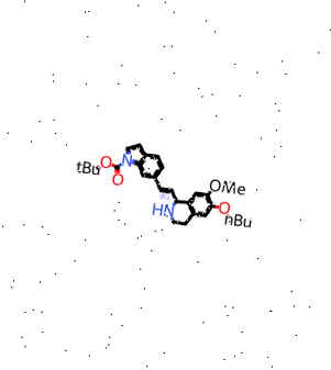 CCCCOc1cc2c(cc1OC)C(/C=C/c1ccc3ccn(C(=O)OC(C)(C)C)c3c1)NCC2